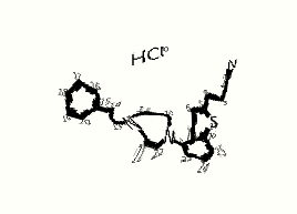 Cl.N#C/C=C/c1cc2c(N3CCN(CCc4ccccc4)CC3)cccc2s1